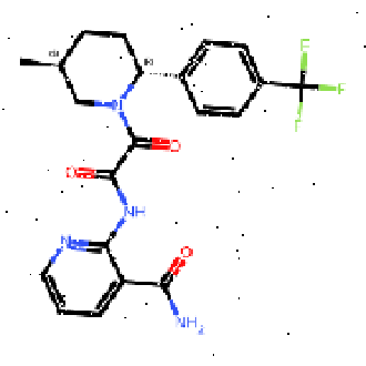 C[C@H]1CC[C@H](c2ccc(C(F)(F)F)cc2)N(C(=O)C(=O)Nc2ncccc2C(N)=O)C1